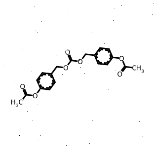 CC(=O)Oc1ccc(COC(=O)OCc2ccc(OC(C)=O)cc2)cc1